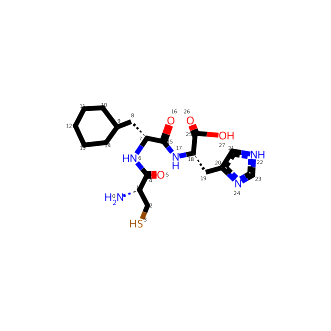 N[C@@H](CS)C(=O)N[C@H](CC1CCCCC1)C(=O)N[C@@H](Cc1c[nH]cn1)C(=O)O